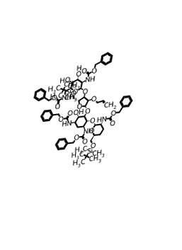 C=CCO[C@H]1[C@H](O[C@@H]2[C@@H](O)[C@H](NC(=O)OCc3ccccc3)C[C@H](NC(=O)OCc3ccccc3)[C@H]2O[C@H]2O[C@H](CO[Si](C)(C)C(C)(C)C)CC[C@H]2NC(=O)OCc2ccccc2)O[C@H](CO[Si](C)(C)C(C)(C)C)[C@H]1O[C@H]1O[C@@H](CNC(=O)OCc2ccccc2)[C@@H](O)[C@H](O)[C@H]1NC(=O)OCc1ccccc1